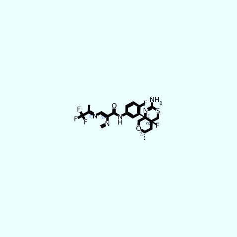 C=N/C(=C\N=C(/C)C(F)(F)F)C(=O)Nc1ccc(F)c([C@]23CO[C@@H](C)C[C@@]2(F)CSC(N)=N3)c1